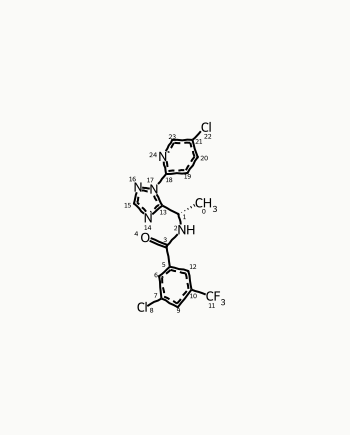 C[C@H](NC(=O)c1cc(Cl)cc(C(F)(F)F)c1)c1ncnn1-c1ccc(Cl)cn1